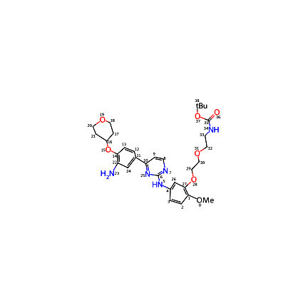 COc1ccc(Nc2nccc(-c3ccc(OC4CCOCC4)c(N)c3)n2)cc1OCCOCCNC(=O)OC(C)(C)C